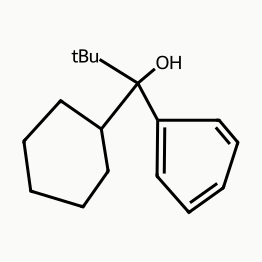 CC(C)(C)C(O)(c1ccccc1)C1CCCCC1